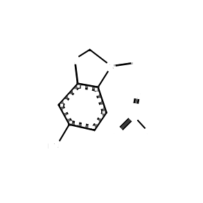 CCN1CSc2cc(N)ccc21.O=[SH](=O)O